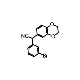 N#CC(c1cccc(Br)c1)c1ccc2c(c1)OCCO2